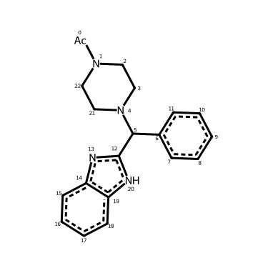 CC(=O)N1CCN(C(c2ccccc2)c2nc3ccccc3[nH]2)CC1